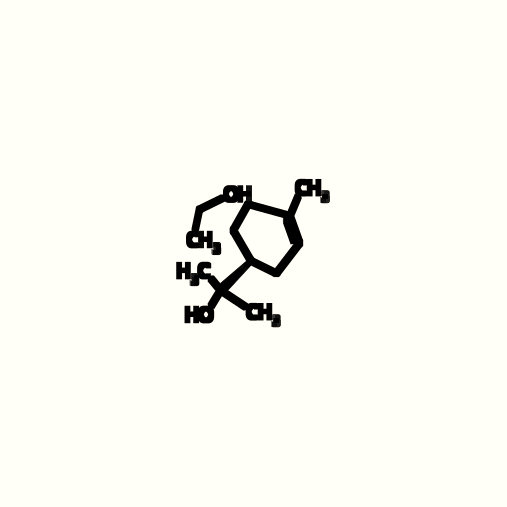 CC1=CC[C@@H](C(C)(C)O)CC1.CCO